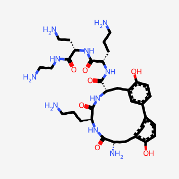 NCCC[C@H](NC(=O)[C@@H]1Cc2cc(ccc2O)-c2ccc(O)c(c2)C[C@H](N)C(=O)N[C@@H](CCCN)C(=O)N1)C(=O)N[C@@H](CCN)C(=O)NCCN